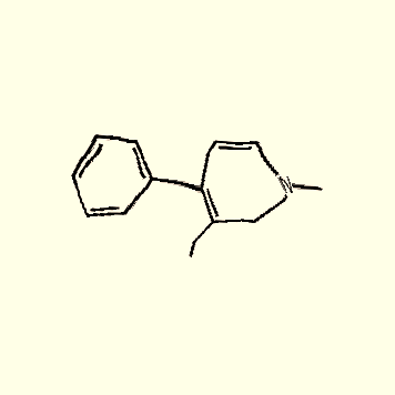 CC1=C(c2ccccc2)C=CN(C)C1